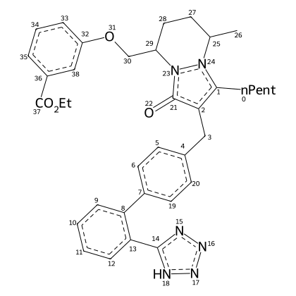 CCCCCc1c(Cc2ccc(-c3ccccc3-c3nnn[nH]3)cc2)c(=O)n2n1C(C)CCC2COc1cccc(C(=O)OCC)c1